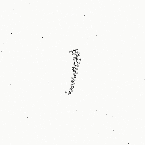 Cc1cc(C)n2ccc(C(=O)Nc3ccc(-c4cn(CCOCCOCCOCCN)nn4)cc3)c2n1